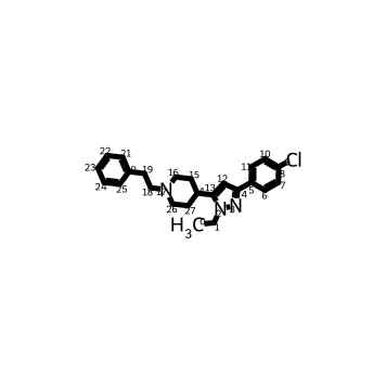 CCn1nc(-c2ccc(Cl)cc2)cc1C1CCN(CCc2ccccc2)CC1